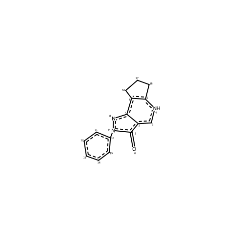 O=c1c2c[nH]c3c(c-2nn1-c1ccccc1)CCC3